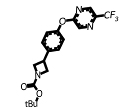 CC(C)(C)OC(=O)N1CC(c2ccc(Oc3cnc(C(F)(F)F)cn3)cc2)C1